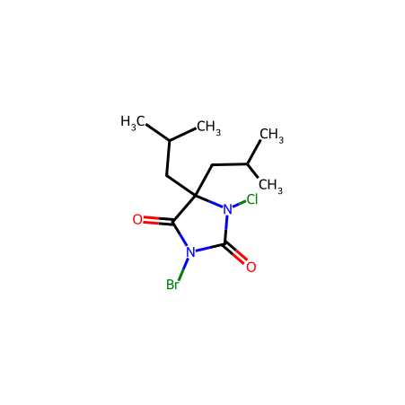 CC(C)CC1(CC(C)C)C(=O)N(Br)C(=O)N1Cl